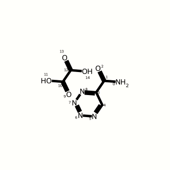 NC(=O)c1cnnnn1.O=C(O)C(=O)O